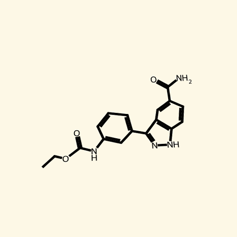 CCOC(=O)Nc1cccc(-c2n[nH]c3ccc(C(N)=O)cc23)c1